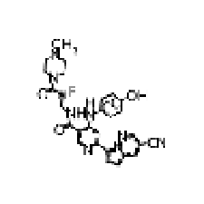 CN1CCN(C(=O)[C@H](F)CNC(=O)c2cnc(-c3ccc4cc(C#N)cnn34)cc2NC23CCC(O)(CC2)CC3)CC1